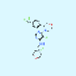 Fc1c(NCC2(F)CCOCC2)ncnc1N1CCOC[C@@H]1c1ccc(C(F)(F)F)cc1